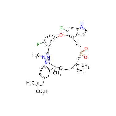 C[C@H](Cc1cccc(C2(C)CCCC(C)(C)CS(=O)(=O)CCc3c(c(F)cc4[nH]ccc34)Oc3ccc(F)c(c3)-c3nc2nn3C)c1)C(=O)O